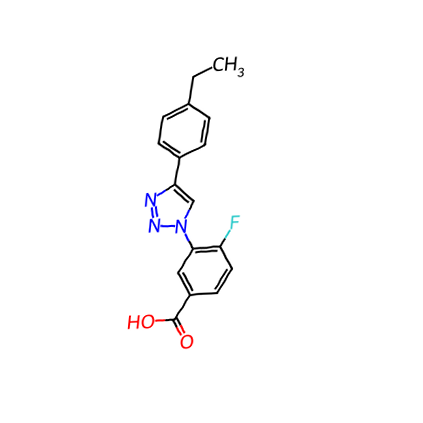 CCc1ccc(-c2cn(-c3cc(C(=O)O)ccc3F)nn2)cc1